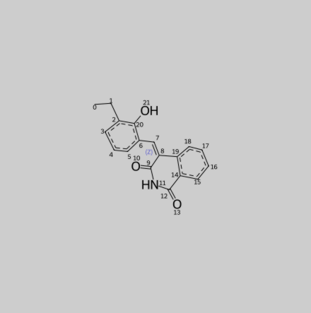 CCc1cccc(/C=C2\C(=O)NC(=O)c3ccccc32)c1O